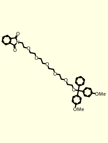 COc1ccc(C(OCCOCCOCCOCCOCCOCCN2C(=O)c3ccccc3C2=O)(c2ccccc2)c2ccc(OC)cc2)cc1